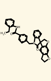 CCc1ccccc1NC(=O)c1ccc(CN2C(=O)C3(COc4cc5c(cc43)CCO5)c3ccccc32)cc1